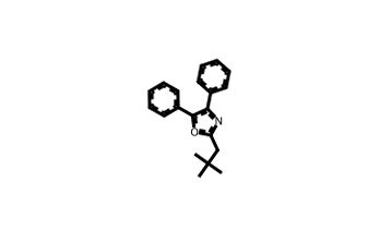 CC(C)(C)Cc1nc(-c2ccccc2)c(-c2ccccc2)o1